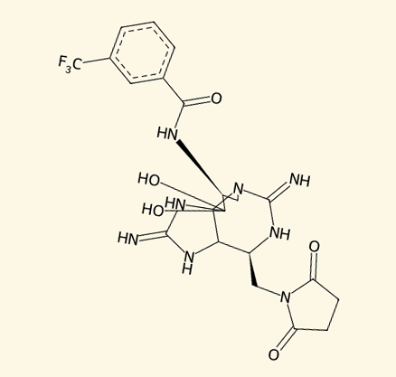 N=C1NC2[C@H](CN3C(=O)CCC3=O)NC(=N)N3C[C@H](NC(=O)c4cccc(C(F)(F)F)c4)C(O)(O)C23N1